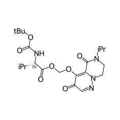 CC(C)[C@H](NC(=O)OC(C)(C)C)C(=O)OCOc1c2n(ncc1=O)CCN(C(C)C)C2=O